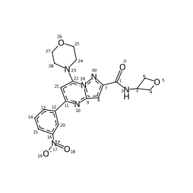 O=C(NC1COC1)c1cc2nc(-c3cccc([N+](=O)[O-])c3)cc(N3CCOCC3)n2n1